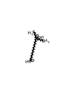 CCCCCC(CCCCC)(CCCCCCCCCCCCCCCC(=O)O)C(=O)O